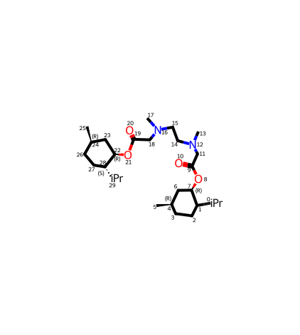 CC(C)C1CC[C@@H](C)C[C@H]1OC(=O)CN(C)CCN(C)CC(=O)O[C@@H]1C[C@H](C)CC[C@H]1C(C)C